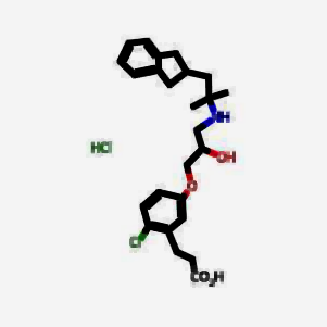 CC(C)(CC1Cc2ccccc2C1)NCC(O)COc1ccc(Cl)c(CCC(=O)O)c1.Cl